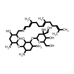 CC(C)=CCC/C(C)=C/CC/C(C)=C/C=N/CC1OC(OC2C(N)CC(N)C(OC3CC(N)(CO)C(O)C(CO)O3)C2O)C(N)CC1O